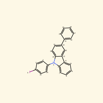 Ic1ccc(-n2c3ccccc3c3cc(-c4ccccc4)ccc32)cc1